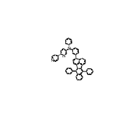 c1ccc(-c2c3c(c(-c4ccccc4)c4ccccc24)-c2ccc(-c4cccc(N(c5ccccc5)c5ccc(-c6ccncc6)nc5)c4)c4cccc-3c24)cc1